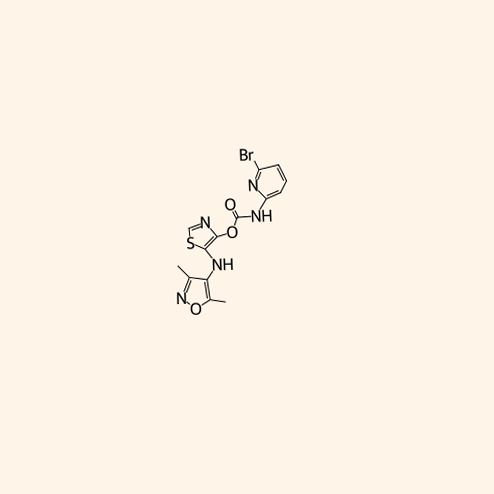 Cc1noc(C)c1Nc1scnc1OC(=O)Nc1cccc(Br)n1